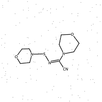 N#CC(=NSN1CCOCC1)N1CCOCC1